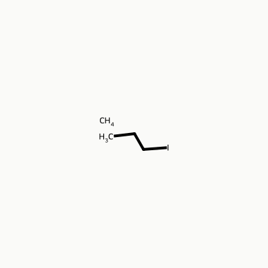 C.CCCI